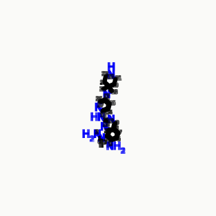 CC(C)N(N)c1c(N)ccc2cnc(Nc3ccc(N4CC5(CCNCC5)C4)cn3)nc12